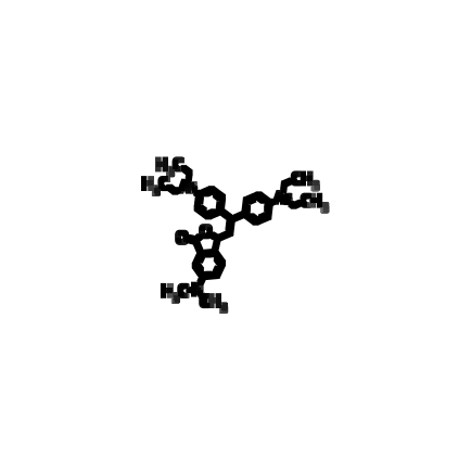 CC[As](CC)c1ccc(C(=CC2OC(=O)c3cc(N(C)C)ccc32)c2ccc([As](CC)CC)cc2)cc1